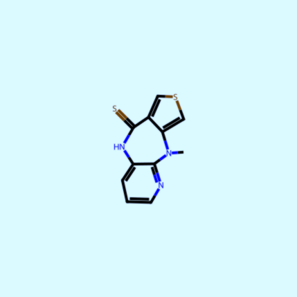 CN1c2cscc2C(=S)Nc2cccnc21